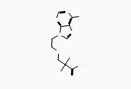 COC(=O)C(C)(C)CO[C@H](C)Cn1cnc2c(N)ncnc21